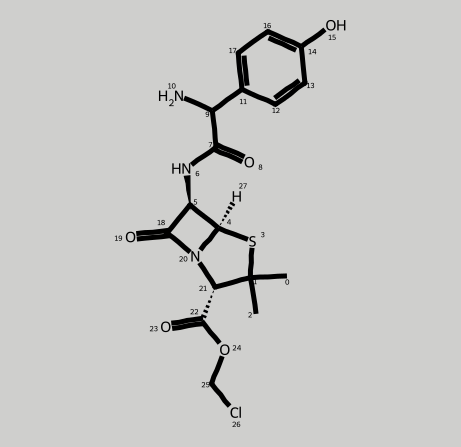 CC1(C)S[C@@H]2[C@H](NC(=O)C(N)c3ccc(O)cc3)C(=O)N2[C@H]1C(=O)OCCl